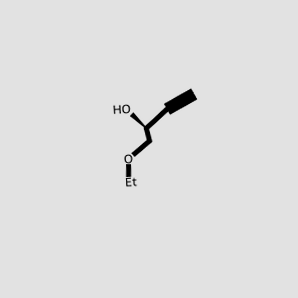 C#C[C@H](O)COCC